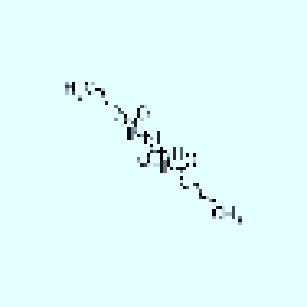 CCCCOC(=O)NNC(=O)NNC(=O)OCCCC